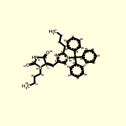 CCCCc1nc(/C=C2\C(=O)NC(=O)N2CCCC)cn1C(c1ccccc1)(c1ccccc1)c1ccccc1